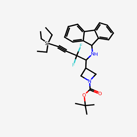 CC[Si](C#CC(F)(F)C(NC1c2ccccc2-c2ccccc21)C1CN(C(=O)OC(C)(C)C)C1)(CC)CC